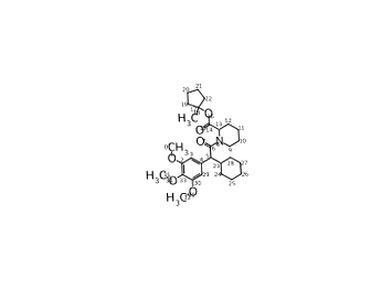 COc1cc(C(C(=O)N2CCCCC2C(=O)OC2(C)CCCC2)C2CCCCC2)cc(OC)c1OC